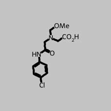 COCN(CC(=O)O)CC(=O)Nc1ccc(Cl)cc1